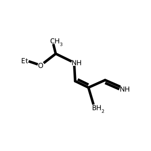 B/C(C=N)=C/NC(C)OCC